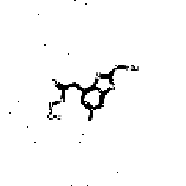 CCCCSc1nc2c(CC(=O)OOOC(C)=O)cc(C)cc2s1